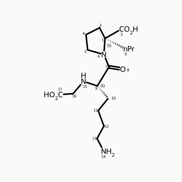 CCC[C@@]1(C(=O)O)CCCN1C(=O)[C@H](CCCCN)NCC(=O)O